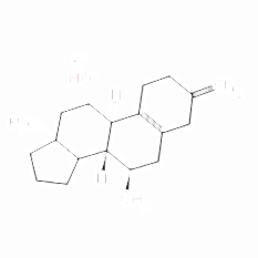 C=C1CCC2=C(C1)C[C@@H](C)[C@@H]1C3CCC[C@@]3(C)CC[C@@H]21.[K+].[OH-]